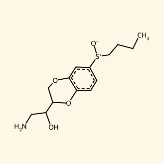 CCCC[S+]([O-])c1ccc2c(c1)OCC(C(O)CN)O2